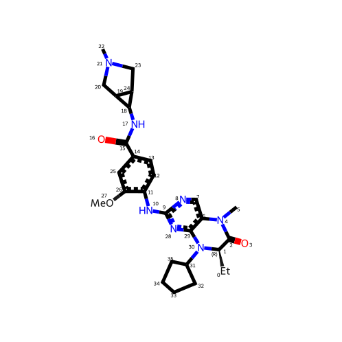 CC[C@@H]1C(=O)N(C)c2cnc(Nc3ccc(C(=O)NC4C5CN(C)CC54)cc3OC)nc2N1C1CCCC1